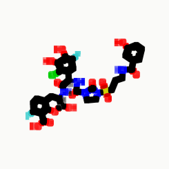 O=C(NCCCS(=O)(=O)N1CCN(C(=O)N[C@H](C(=O)N[C@H]2Cc3ccc(F)c(C(=O)O)c3OB2O)c2cc(F)c(O)c(O)c2Cl)C1=O)c1cccc(O)c1